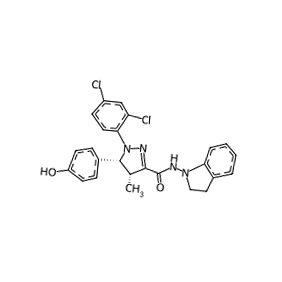 C[C@H]1C(C(=O)NN2CCc3ccccc32)=NN(c2ccc(Cl)cc2Cl)[C@H]1c1ccc(O)cc1